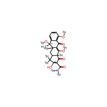 [2H]OC1=C2C(=O)c3c(O[2H])cccc3[C@@](C)(O[2H])C2([2H])CC2C([2H])([2H])C(O)=C(C(=O)N([2H])[2H])C(=O)C12[2H]